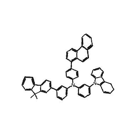 CC1(C)c2ccccc2-c2ccc(-c3cccc(N(c4ccc(-c5cccc6c5ccc5ccccc56)cc4)c4cccc(-n5c6c(c7ccccc75)CCC=C6)c4)c3)cc21